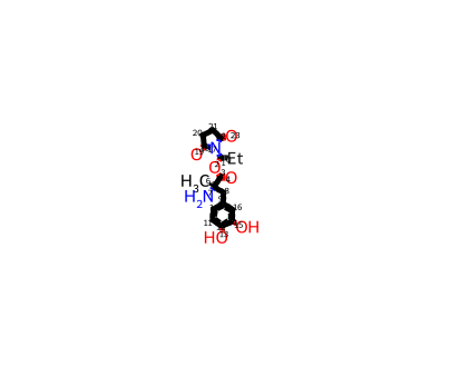 CCC(OC(=O)[C@@](C)(N)Cc1ccc(O)c(O)c1)N1C(=O)CCC1=O